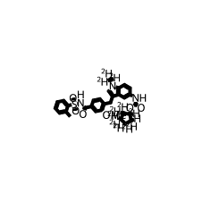 [2H]C([2H])([2H])n1cc(Cc2ccc(C(=O)NS(=O)(=O)c3ccccc3C)cc2OC)c2cc(NC(=O)OC3([2H])C([2H])([2H])C([2H])([2H])C([2H])([2H])C3([2H])[2H])ccc21